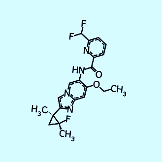 CCOc1cc2nc([C@]3(C)C[C@@]3(C)F)cn2cc1NC(=O)c1cccc(C(F)F)n1